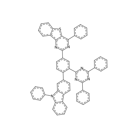 c1ccc(-c2nc(-c3ccccc3)nc(-c3cc(-c4nc(-c5ccccc5)c5sc6ccccc6c5n4)ccc3-c3ccc4c5ccccc5n(-c5ccccc5)c4c3)n2)cc1